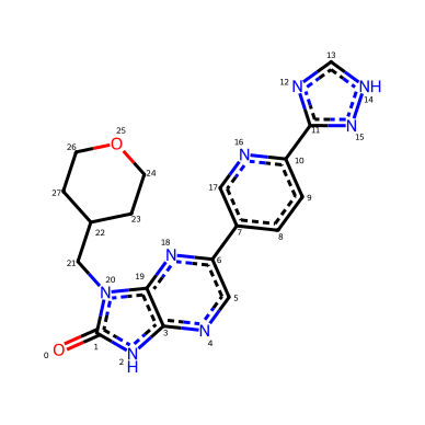 O=c1[nH]c2ncc(-c3ccc(-c4nc[nH]n4)nc3)nc2n1CC1CCOCC1